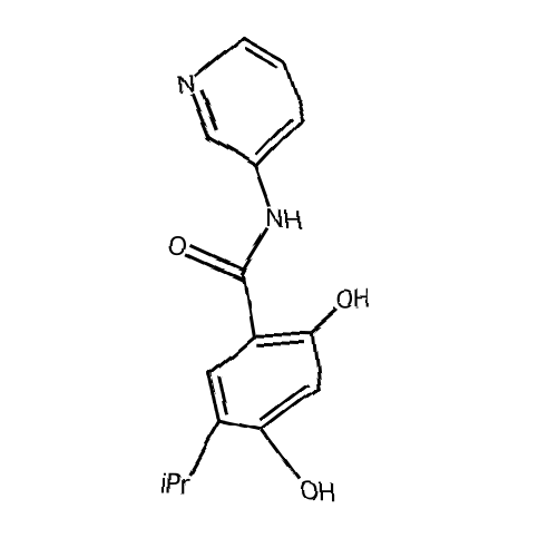 CC(C)c1cc(C(=O)Nc2cccnc2)c(O)cc1O